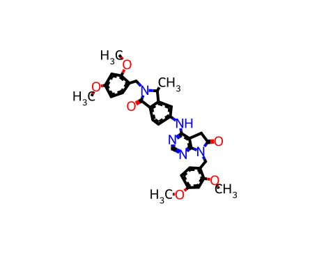 COc1ccc(CN2C(=O)Cc3c(Nc4ccc5c(c4)C(C)N(Cc4ccc(OC)cc4OC)C5=O)ncnc32)c(OC)c1